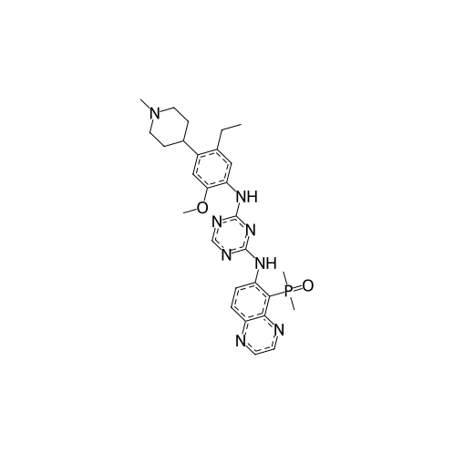 CCc1cc(Nc2ncnc(Nc3ccc4nccnc4c3P(C)(C)=O)n2)c(OC)cc1C1CCN(C)CC1